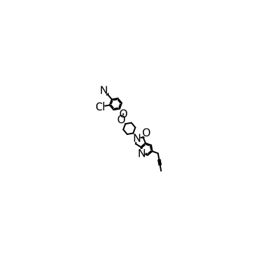 CC#CCc1cnc2c(c1)C(=O)N([C@H]1CC[C@H](OOc3ccc(C#N)c(Cl)c3)CC1)C2